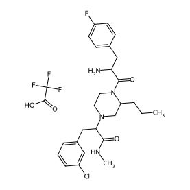 CCCC1CN(C(Cc2cccc(Cl)c2)C(=O)NC)CCN1C(=O)C(N)Cc1ccc(F)cc1.O=C(O)C(F)(F)F